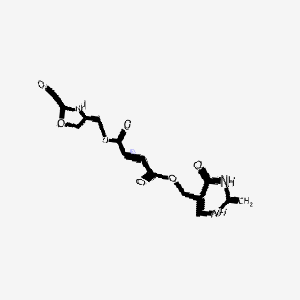 C=C1NC=C(COC(=O)/C=C/C(=O)OCC2COC(=O)N2)C(=O)N1